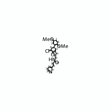 COc1ccc(OC)c(-c2cc(Cl)c3c(c2)CC(CNC(=O)/C=C/c2cccnc2)O3)c1